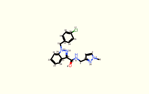 Cn1ccc(CNC(=O)c2nn(Cc3ccc(Cl)cc3)c3ccccc23)n1